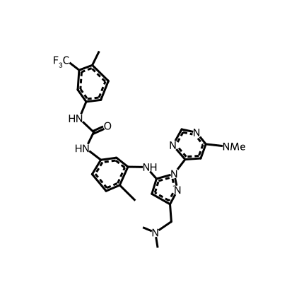 CNc1cc(-n2nc(CN(C)C)cc2Nc2cc(NC(=O)Nc3ccc(C)c(C(F)(F)F)c3)ccc2C)ncn1